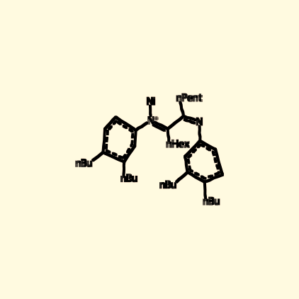 CCCCCCC(C(CCCCC)=Nc1ccc(CCCC)c(CCCC)c1)=[N+]([Ni])c1ccc(CCCC)c(CCCC)c1